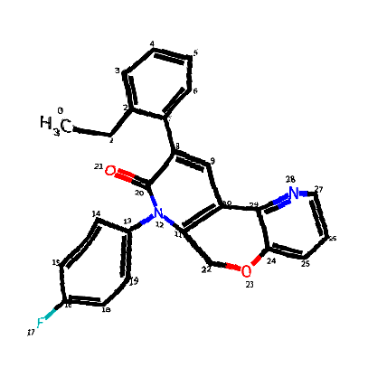 CCc1ccccc1-c1cc2c(n(-c3ccc(F)cc3)c1=O)COc1cccnc1-2